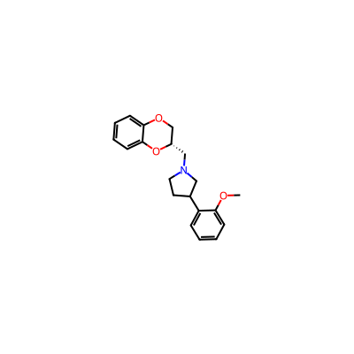 COc1ccccc1C1CCN(C[C@H]2COc3ccccc3O2)C1